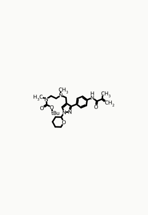 C=C(C)C(=O)Nc1ccc(-c2nn(C3CCCCO3)cc2CN(C)CCN(C)C(=O)OC(C)(C)C)cc1